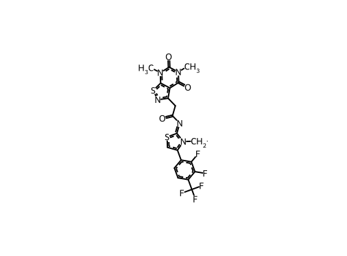 [CH2]n1c(-c2ccc(C(F)(F)F)c(F)c2F)cs/c1=N\C(=O)Cc1nsc2c1c(=O)n(C)c(=O)n2C